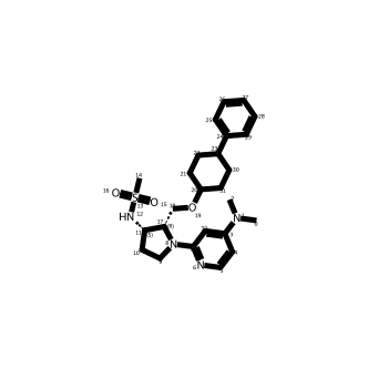 CN(C)c1ccnc(N2CC[C@H](NS(C)(=O)=O)[C@@H]2COC2CCC(c3ccccc3)CC2)c1